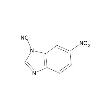 N#Cn1cnc2ccc([N+](=O)[O-])cc21